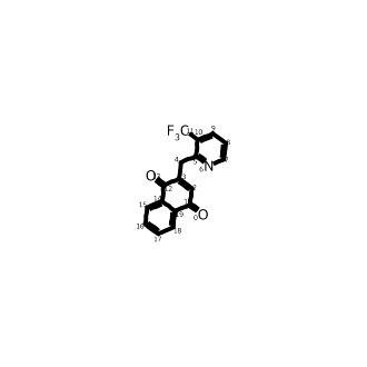 O=C1C=C(Cc2ncccc2C(F)(F)F)C(=O)c2ccccc21